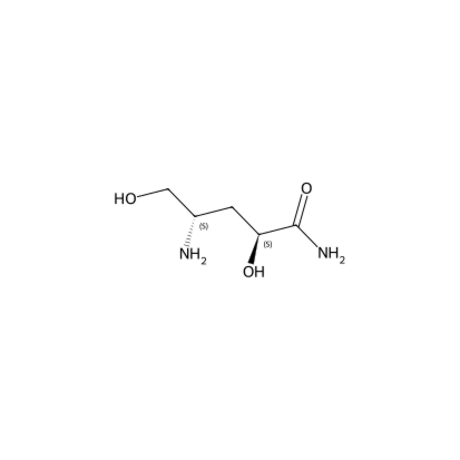 NC(=O)[C@@H](O)C[C@H](N)CO